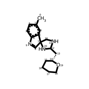 Cc1ccc2c(c1)C1(C=N2)CNC(C[C@H]2CCCCO2)N1